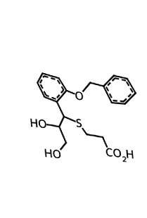 O=C(O)CCSC(c1ccccc1OCc1ccccc1)C(O)CO